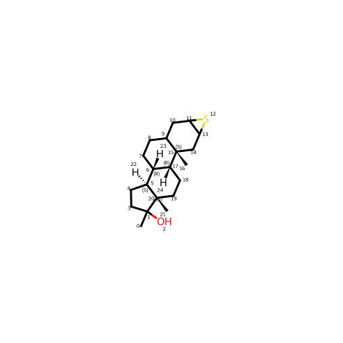 CC1(O)CC[C@H]2[C@@H]3CCC4CC5SC5C[C@]4(C)[C@@H]3CC[C@@]21C